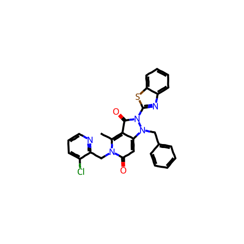 Cc1c2c(=O)n(-c3nc4ccccc4s3)n(Cc3ccccc3)c2cc(=O)n1Cc1ncccc1Cl